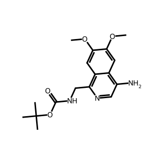 COc1cc2c(N)cnc(CNC(=O)OC(C)(C)C)c2cc1OC